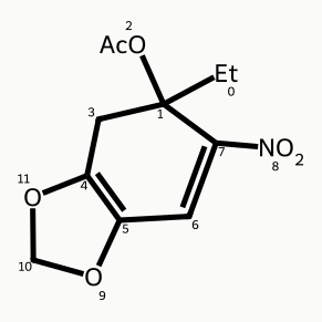 CCC1(OC(C)=O)CC2=C(C=C1[N+](=O)[O-])OCO2